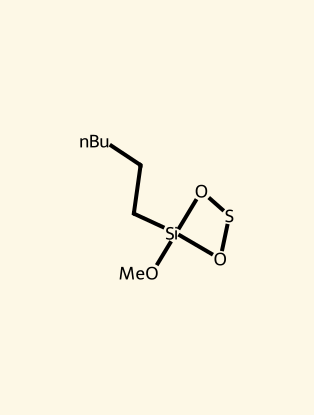 CCCCCC[Si]1(OC)OSO1